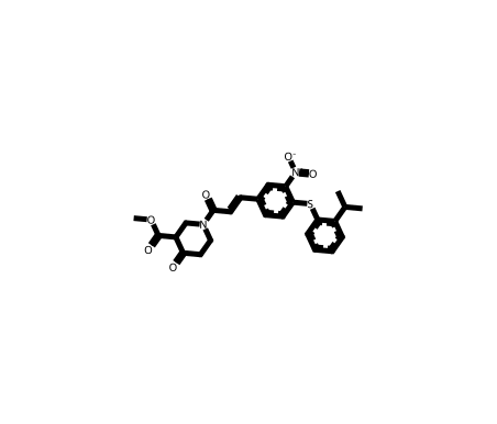 COC(=O)C1CN(C(=O)C=Cc2ccc(Sc3ccccc3C(C)C)c([N+](=O)[O-])c2)CCC1=O